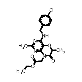 CCOC(=O)CN1C(=O)C(C)Oc2c(NCc3ccc(Cl)cc3)nc(C)nc21